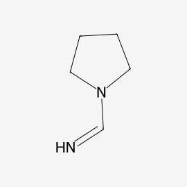 N=CN1CCCC1